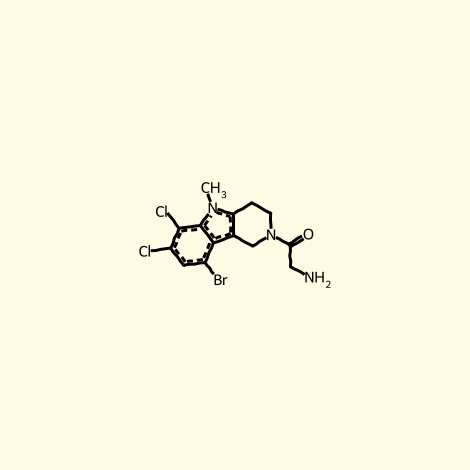 Cn1c2c(c3c(Br)cc(Cl)c(Cl)c31)CN(C(=O)CN)CC2